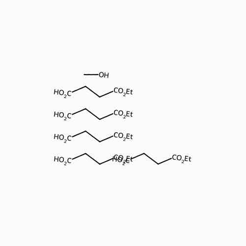 CCOC(=O)CCC(=O)O.CCOC(=O)CCC(=O)O.CCOC(=O)CCC(=O)O.CCOC(=O)CCC(=O)O.CCOC(=O)CCC(=O)O.CO